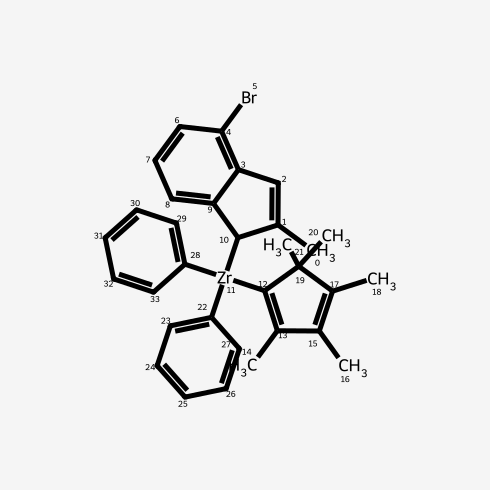 CC1=Cc2c(Br)cccc2[CH]1[Zr]([C]1=C(C)C(C)=C(C)C1(C)C)([c]1ccccc1)[c]1ccccc1